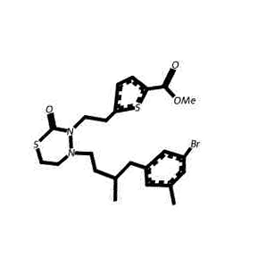 COC(=O)c1ccc(CCN2C(=O)SCCN2CCC(C)Cc2cc(C)cc(Br)c2)s1